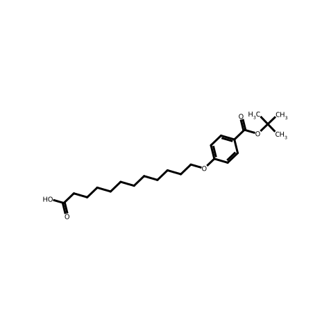 CC(C)(C)OC(=O)c1ccc(OCCCCCCCCCCCC(=O)O)cc1